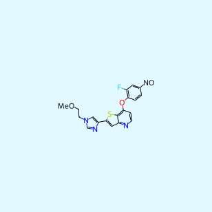 COCCn1cnc(-c2cc3nccc(Oc4ccc(N=O)cc4F)c3s2)c1